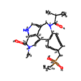 CC(C)C(=O)N1Cc2c[nH]c3c(=O)n(C)cc(c23)-c2cc(CS(C)(=O)=O)ccc21